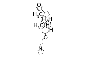 C[C@]12CC[C@H](OCCCN3CCCC3)C[C@H]1CC[C@@H]1[C@@H]2CC[C@]2(C)[C@@H](c3ccoc3)CC[C@@H]12